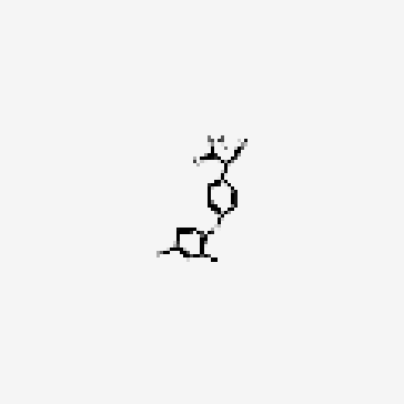 NC(=O)C(C=O)c1ccc(Oc2ccc(F)cc2F)cc1